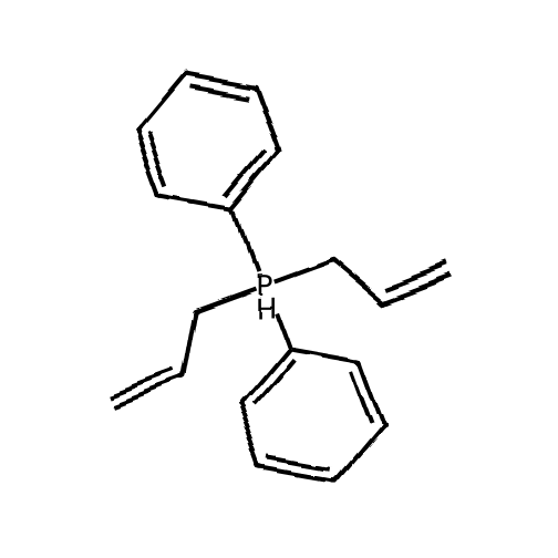 C=CC[PH](CC=C)(c1ccccc1)c1ccccc1